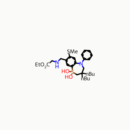 CCCCC1(CCCC)CN(c2ccccc2)c2cc(SC)c(CNCC(=O)OCC)cc2S(O)(O)C1